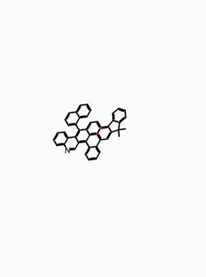 CC1(C)c2ccccc2-c2ccc(-c3ccccc3-c3c4ccccc4c(-c4cccc5ccccc45)c4c3cnc3ccccc34)cc21